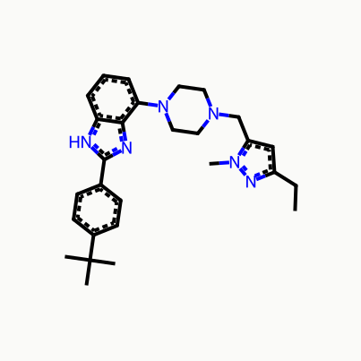 CCc1cc(CN2CCN(c3cccc4[nH]c(-c5ccc(C(C)(C)C)cc5)nc34)CC2)n(C)n1